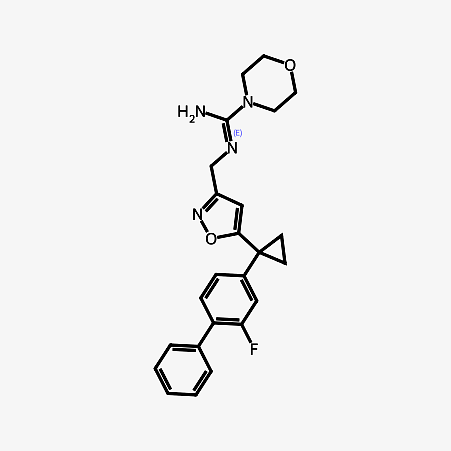 N/C(=N\Cc1cc(C2(c3ccc(-c4ccccc4)c(F)c3)CC2)on1)N1CCOCC1